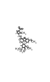 COc1ccc2c(C(=O)c3cc(OC)c(OC)c(OC)c3)n(C(=O)OCc3cnc([N+](=O)[O-])n3C)nc2c1